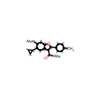 CNC(=O)c1c(-c2ccc(C)cc2)oc2cc(NC)c(C3CC3)cc12